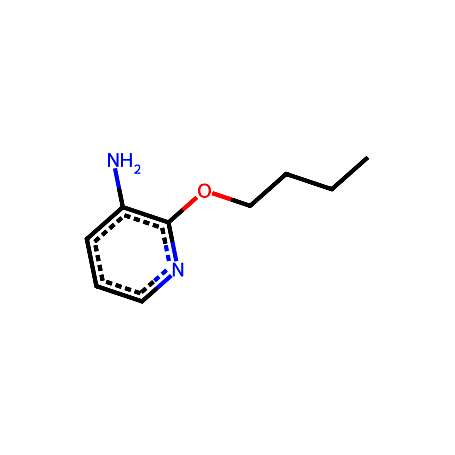 CCCCOc1ncccc1N